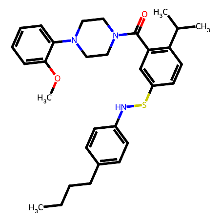 CCCCc1ccc(NSc2ccc(C(C)C)c(C(=O)N3CCN(c4ccccc4OC)CC3)c2)cc1